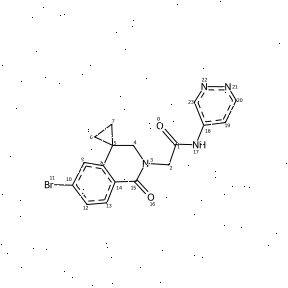 O=C(CN1CC2(CC2)c2cc(Br)ccc2C1=O)Nc1ccnnc1